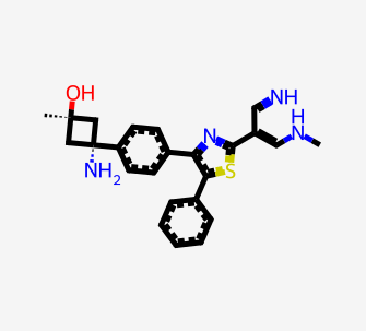 CN/C=C(\C=N)c1nc(-c2ccc([C@]3(N)C[C@](C)(O)C3)cc2)c(-c2ccccc2)s1